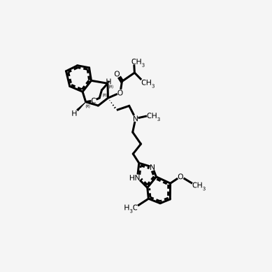 COc1ccc(C)c2[nH]c(CCCN(C)CC[C@]3(OC(=O)C(C)C)C[C@H]4CCC[C@@H]3c3ccccc34)nc12